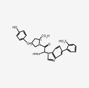 CCCCCCC(C(=O)N1C[C@@H](Oc2ccc(O)cc2)C[C@H]1C(=O)O)n1cnc2cc(-c3ccccc3S(=O)(=O)O)ccc21